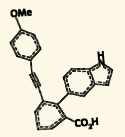 COc1ccc(C#Cc2cccc(C(=O)O)c2-c2ccc3[nH]ccc3c2)cc1